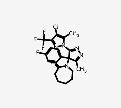 CC1=NN=C(n2nc(C(F)(F)F)c(Cl)c2C)C1(c1ccc(F)cc1)N1CCCCCC1=O